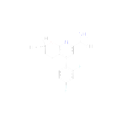 CC(N)c1cc(-c2ccc(F)cc2F)c2c(n1)OC(C)(C)CC2